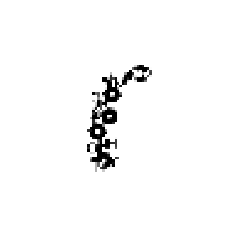 Cc1ncc(Cl)cc1C(=O)N[C@H]1CC[C@H](CN(C)c2ccccc2N(C=O)c2ccc3c(c2)c(C)nn3CCN2CCOCC2)CC1